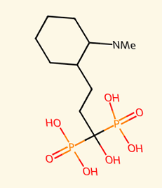 CNC1CCCCC1CCC(O)(P(=O)(O)O)P(=O)(O)O